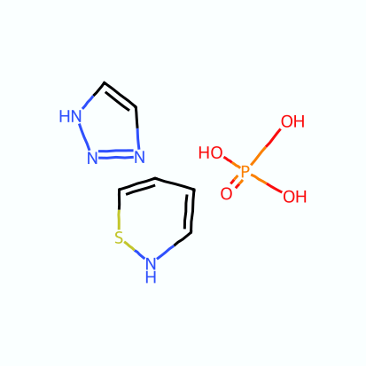 C1=CNSC=C1.O=P(O)(O)O.c1c[nH]nn1